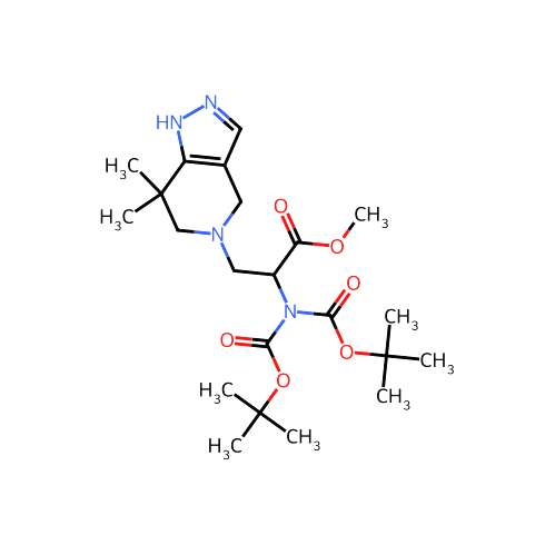 COC(=O)C(CN1Cc2cn[nH]c2C(C)(C)C1)N(C(=O)OC(C)(C)C)C(=O)OC(C)(C)C